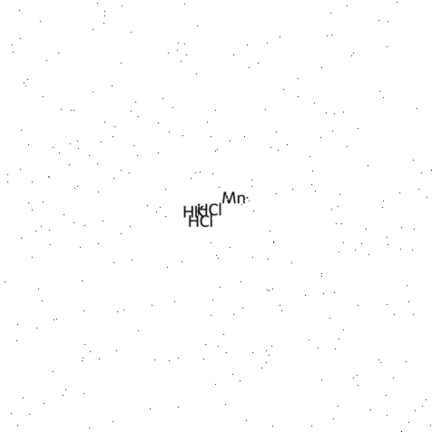 Cl.Cl.[KH].[Mn]